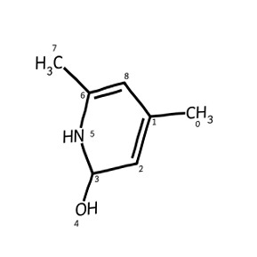 CC1=CC(O)NC(C)=C1